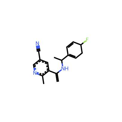 C=C(NC(C)C1=CCC(F)C=C1)c1cc(C#N)cnc1C